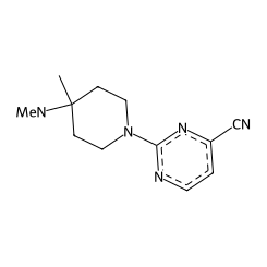 CNC1(C)CCN(c2nccc(C#N)n2)CC1